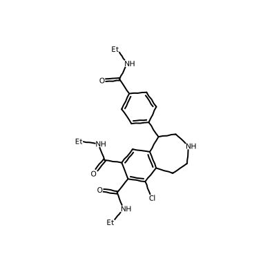 CCNC(=O)c1ccc(C2CNCCc3c2cc(C(=O)NCC)c(C(=O)NCC)c3Cl)cc1